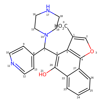 O=C(O)c1coc2c1c(C(c1ccncc1)N1CCNCC1)c(O)c1ccccc12